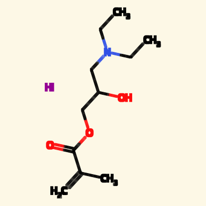 C=C(C)C(=O)OCC(O)CN(CC)CC.I